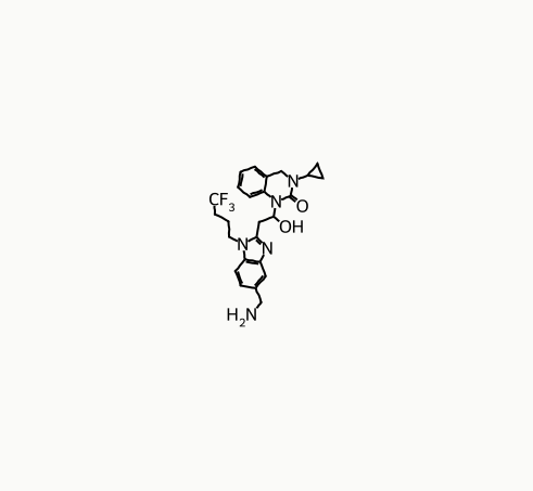 NCc1ccc2c(c1)nc(CC(O)N1C(=O)N(C3CC3)Cc3ccccc31)n2CCCC(F)(F)F